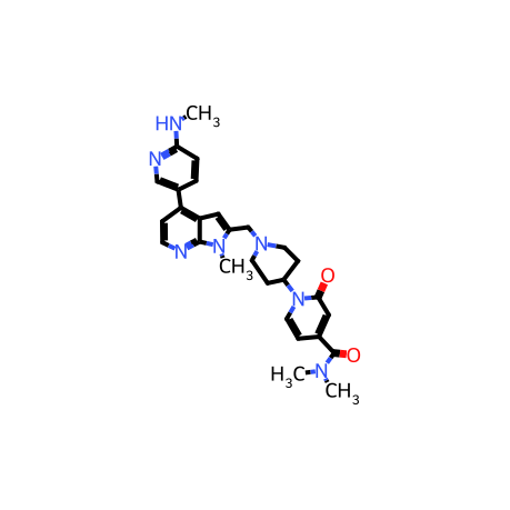 CNc1ccc(-c2ccnc3c2cc(CN2CCC(n4ccc(C(=O)N(C)C)cc4=O)CC2)n3C)cn1